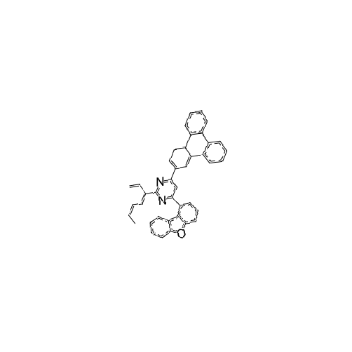 C=C/C(=C\C=C/C)c1nc(C2=CCC3C(=C2)c2ccccc2-c2ccccc23)cc(-c2cccc3oc4ccccc4c23)n1